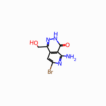 Nc1nc(Br)cc2c(CO)n[nH]c(=O)c12